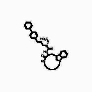 O=C(O)C[C@@H](CCCc1ccc(-c2ccccc2)cc1)C(=O)NC1Cc2cn(c3ccccc23)CCCCCCNC1=O